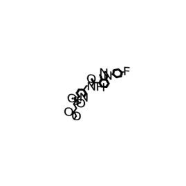 COC(=O)CCS(=O)(=O)c1ccc(CNC(=O)c2cccc3c2cnn3-c2ccc(F)cc2)cn1